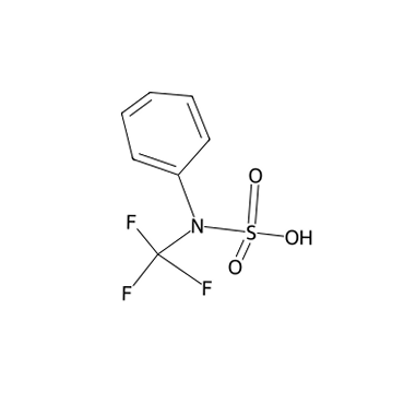 O=S(=O)(O)N(c1ccccc1)C(F)(F)F